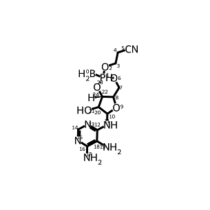 B[PH]1(OCCC#N)OCC2OC(Nc3ncnc(N)c3N)C(O)[C@@H]2O1